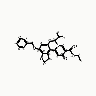 CCOC(=O)c1cn2c(cc1=O)-c1c(cc(OCc3ccccc3)c3c1CCO3)CC2C(C)C